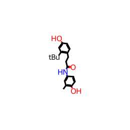 Cc1cc(NC(=O)CCc2ccc(O)cc2C(C)(C)C)ccc1O